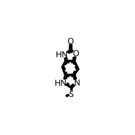 CSc1nc2cc3oc(=O)[nH]c3cc2[nH]1